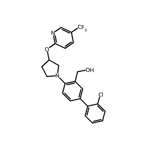 OCc1cc(-c2ccccc2Cl)ccc1N1CCC(Oc2ccc(C(F)(F)F)cn2)C1